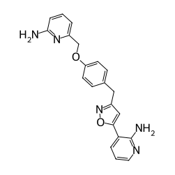 Nc1cccc(COc2ccc(Cc3cc(-c4cccnc4N)on3)cc2)n1